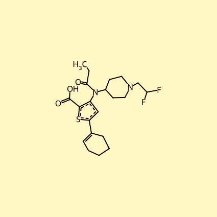 CCC(=O)N(c1cc(C2=CCCCC2)sc1C(=O)O)C1CCN(CC(F)F)CC1